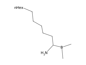 CCCCCCCCCCCC(N)B(C)C